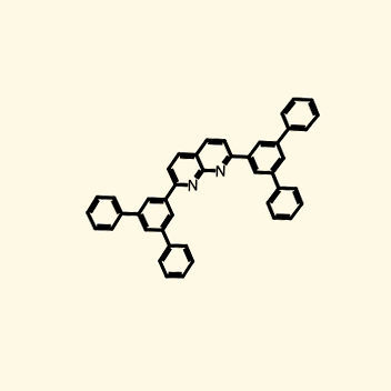 c1ccc(-c2cc(-c3ccccc3)cc(-c3ccc4ccc(-c5cc(-c6ccccc6)cc(-c6ccccc6)c5)nc4n3)c2)cc1